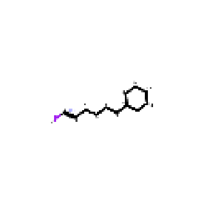 I/C=C/CCCCC1CCCCC1